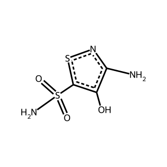 Nc1nsc(S(N)(=O)=O)c1O